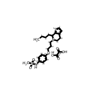 CCCCC1c2sccc2CCN1CCCOc1ccc(NS(C)(=O)=O)cc1.O=C(O)C(=O)O